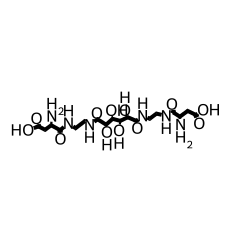 N[C@H](CC(=O)O)C(=O)NCCNC(=O)[C@@H](O)[C@H](O)[C@H](O)[C@@H](O)C(=O)NCCNC(=O)[C@H](N)CC(=O)O